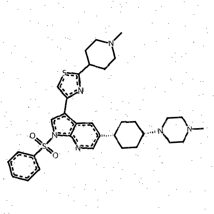 CN1CCC(c2nc(-c3cn(S(=O)(=O)c4ccccc4)c4ncc([C@H]5CC[C@@H](N6CCN(C)CC6)CC5)cc34)cs2)CC1